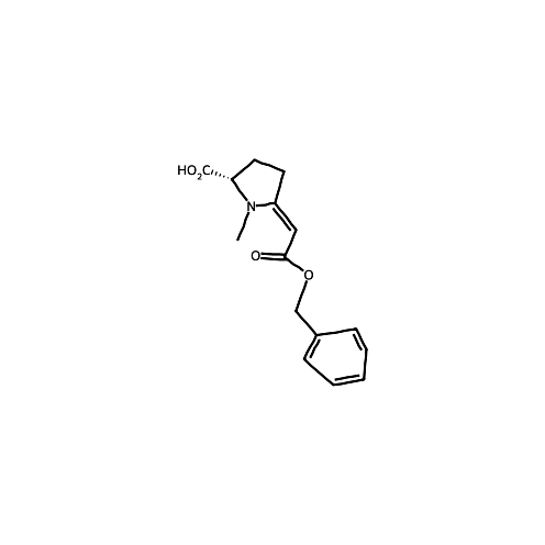 CN1/C(=C\C(=O)OCc2ccccc2)CC[C@H]1C(=O)O